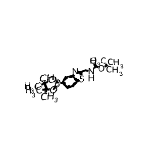 CC(C)(C)OC(=O)NCc1nc2cc(B3OC(C)(C)C(C)(C)O3)ccc2s1